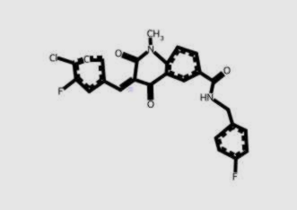 CN1C(=O)/C(=C\c2ccc(Cl)c(F)c2)C(=O)c2cc(C(=O)NCc3ccc(F)cc3)ccc21